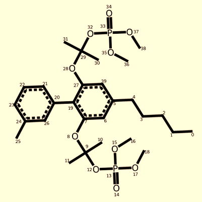 CCCCCc1cc(OC(C)(C)OP(=O)(OC)OC)c(-c2cccc(C)c2)c(OC(C)(C)OP(=O)(OC)OC)c1